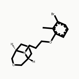 Cc1c(Br)cccc1OCCCN1[C@H]2COC[C@H]1COC2